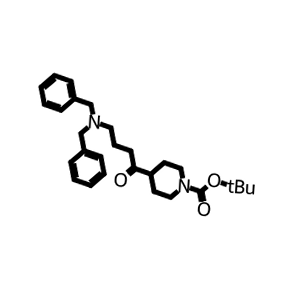 CC(C)(C)OC(=O)N1CCC(C(=O)CCCN(Cc2ccccc2)Cc2ccccc2)CC1